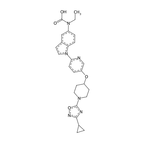 CCN(C(=O)O)c1ccc2c(ccn2-c2ccc(OC3CCN(c4nc(C5CC5)no4)CC3)cn2)c1